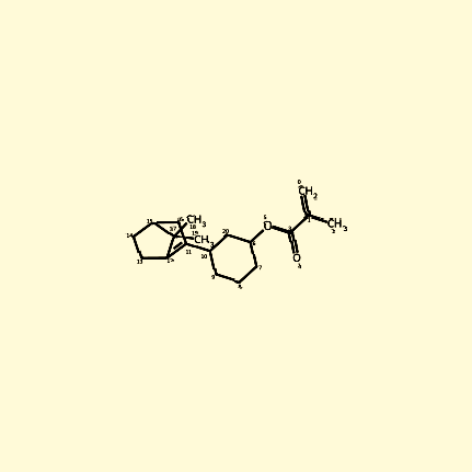 C=C(C)C(=O)OC1CCCC(C2=C3CCC(C2)C3(C)C)C1